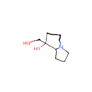 OCC1(O)CCN2CCCC21